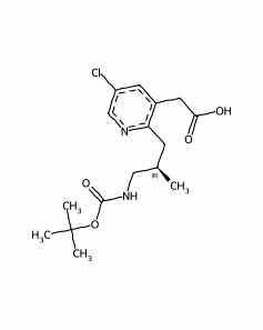 C[C@@H](CNC(=O)OC(C)(C)C)Cc1ncc(Cl)cc1CC(=O)O